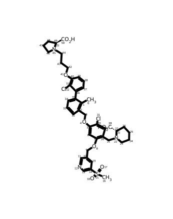 Cc1c(COc2cc(OCc3cncc(S(C)(=O)=O)c3)c(CN3CCCC[C@H]3C(=O)O)cc2Cl)cccc1-c1cccc(OCCCN2CCC[C@H]2C(=O)O)c1Cl